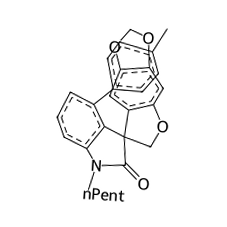 CCCCCN1C(=O)C2(COc3cc4c(cc32)OCO4)c2c(-c3ccc(C)cc3)cccc21